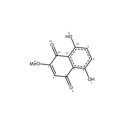 COC1=CC(=O)c2c(O)ccc(O)c2C1=O